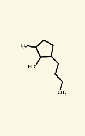 CCCCC1CCC(C)C1C